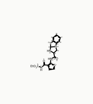 CCOC(=O)NC(=O)c1ccsc1NC(=O)C1CN2c3ccccc3SC2N1